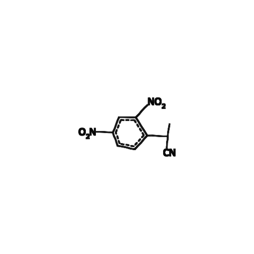 CC(C#N)c1ccc([N+](=O)[O-])cc1[N+](=O)[O-]